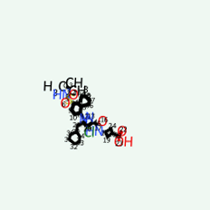 CC(C)(C)NS(=O)(=O)c1ccc(-n2nc(C(=O)NC3CC(C(=O)O)C3)c(Cl)c2CC2CCCCC2)c2ccccc12